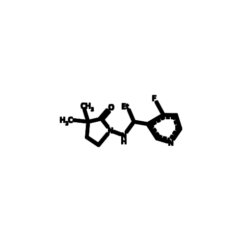 CCC(NN1CCC(C)(C)C1=O)c1cnccc1F